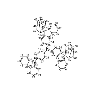 C1=CC2=C(CC1)c1cc(N(c3ccc(-n4c5ccccc5c5ccccc54)cc3)c3ccc4c(c3)-c3ccccc3C43C4CC5CC(C4)CC3C5)ccc1C21C2CC3CC(C2)CC1C3